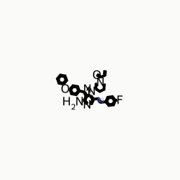 C=CC(=O)N1CCCC(n2nc(-c3ccc(Oc4ccccc4)cc3)c3c(N)ncc(/C=C/c4ccc(F)cc4)c32)C1